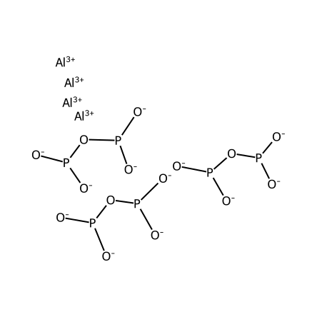 [Al+3].[Al+3].[Al+3].[Al+3].[O-]P([O-])OP([O-])[O-].[O-]P([O-])OP([O-])[O-].[O-]P([O-])OP([O-])[O-]